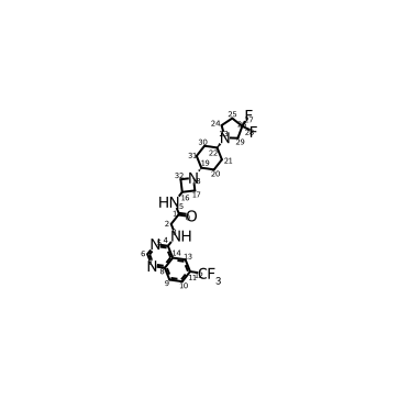 O=C(CNc1ncnc2ccc(C(F)(F)F)cc12)NC1CN([C@H]2CC[C@H](N3CCC(F)(F)C3)CC2)C1